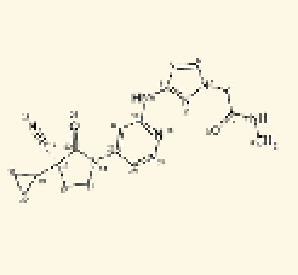 CNC(=O)Cn1ccc(Nc2cc(N3CC[C@@](C#N)(C4CC4)C3=O)ccn2)n1